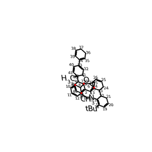 CC1=C(/C2=C3/CC3CC3C=CC=CC3CN2C2=C(C(C)(C)C)C=CCC2C2CC=CCC2)C2OC3C=C(C4=CCCC=C4)C=CC3(C)C2C=C1